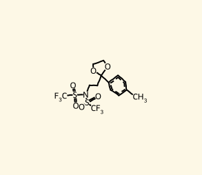 Cc1ccc(C2(CCN(S(=O)(=O)C(F)(F)F)S(=O)(=O)C(F)(F)F)OCCO2)cc1